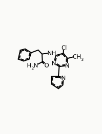 Cc1nc(-c2ccccn2)nc(NC(Cc2ccccc2)C(N)=O)c1Cl